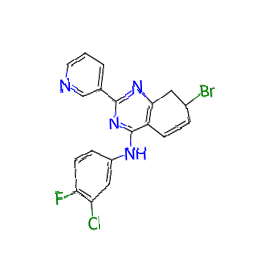 Fc1ccc(Nc2nc(-c3cccnc3)nc3c2C=CC(Br)C3)cc1Cl